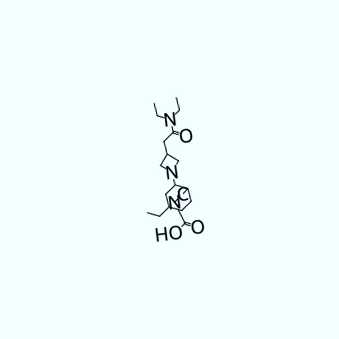 CCN(CC)C(=O)CC1CN(C2CC3(CC)CCC2CN3C(=O)O)C1